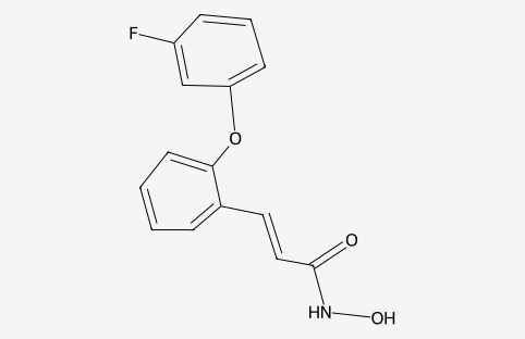 O=C(C=Cc1ccccc1Oc1cccc(F)c1)NO